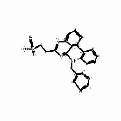 NS(=O)(=O)CCc1nc(NCc2ccccn2)c2c(-c3ccccc3)cccc2n1